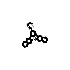 c1cnc(-c2cc3c4cc5ccccc5cc4n4c5cc6ccccc6cc5c(c2)c34)nc1